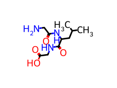 CC(C)CC(NC(=O)CN)C(=O)NCC(=O)O